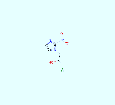 O=[N+]([O-])c1nccn1CC(O)CCl